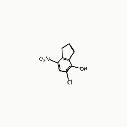 O=[N+]([O-])c1cc(Cl)c(O)c2c1CCC2